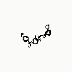 O=C(c1ccc(F)cc1)N1CCc2nc(COc3cccc(Cl)c3)oc2C1